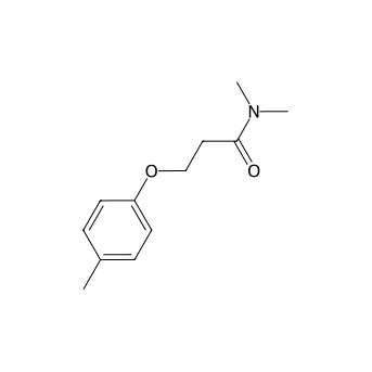 Cc1ccc(OCCC(=O)N(C)C)cc1